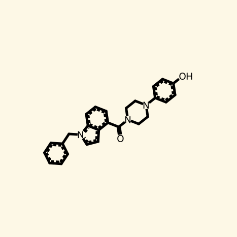 O=C(c1cccc2c1ccn2Cc1ccccc1)N1CCN(c2ccc(O)cc2)CC1